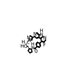 Cn1cc(-c2cc3c(cn2)[nH]c2ncc(F)c(-c4ccc(C(=O)N[C@H]5CCC[C@H]5CO)cc4)c23)cn1